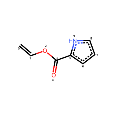 C=COC(=O)c1ccc[nH]1